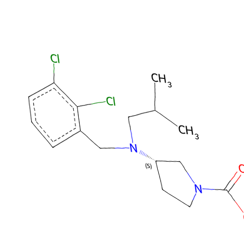 CC(C)CN(Cc1cccc(Cl)c1Cl)[C@H]1CCN(C(=O)O)C1